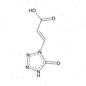 O=C(O)/C=C/n1nn[nH]c1=O